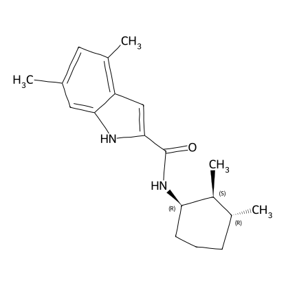 Cc1cc(C)c2cc(C(=O)N[C@@H]3CCC[C@@H](C)[C@@H]3C)[nH]c2c1